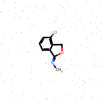 CN=C1OCc2c(Cl)cccc21